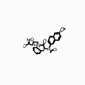 COc1ccc2cc(N(C(C)=O)[C@@H](Cc3ccccc3)C(=O)NCC3CC(Cl)=NO3)ccc2c1